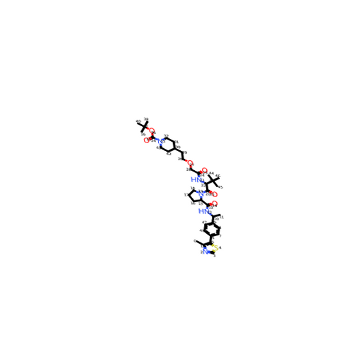 Cc1ncsc1-c1ccc(C(C)NC(=O)C2CCCN2C(=O)C(NC(=O)COCCC2CCN(C(=O)OC(C)(C)C)CC2)C(C)(C)C)cc1